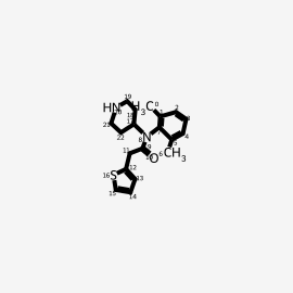 Cc1cccc(C)c1N(C(=O)Cc1cccs1)C1CCNCC1